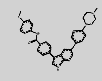 COc1ccc(NC(=O)c2ccc(-c3c[nH]c4ncc(-c5ccc(N6CCN(C)CC6)cc5)cc34)cc2)cc1